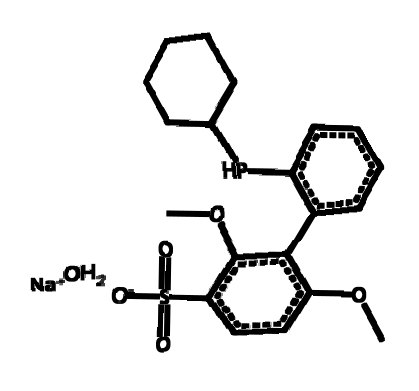 COc1ccc(S(=O)(=O)[O-])c(OC)c1-c1ccccc1PC1CCCCC1.O.[Na+]